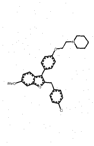 COc1ccc2c(-c3ccc(OCCN4CCCCC4)cc3)c(Cc3ccc(Cl)cc3)oc2c1